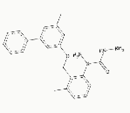 Cc1cc(OCc2c(C)cccc2N(N)C(=O)NN)cc(-c2ccccc2)c1